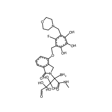 BC(C(=O)NC)(N1Cc2c(OCc3c(O)c(O)c(O)c(CN4CCOCC4)c3F)cccc2C1=O)C(O)(O)C(O)(O)C=O